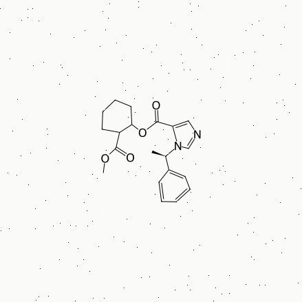 COC(=O)C1CCCCC1OC(=O)c1cncn1[C@H](C)c1ccccc1